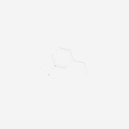 C[Si](C)(C)c1cccc(CBr)c1